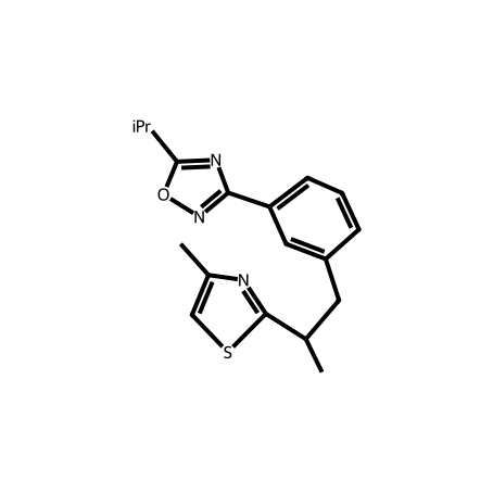 Cc1csc(C(C)Cc2cccc(-c3noc(C(C)C)n3)c2)n1